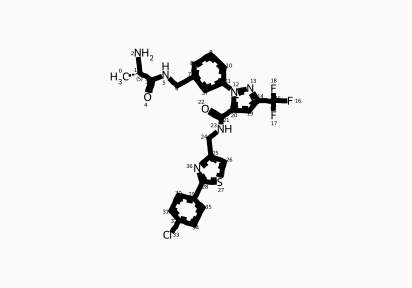 C[C@H](N)C(=O)NCc1cccc(-n2nc(C(F)(F)F)cc2C(=O)NCc2csc(-c3ccc(Cl)cc3)n2)c1